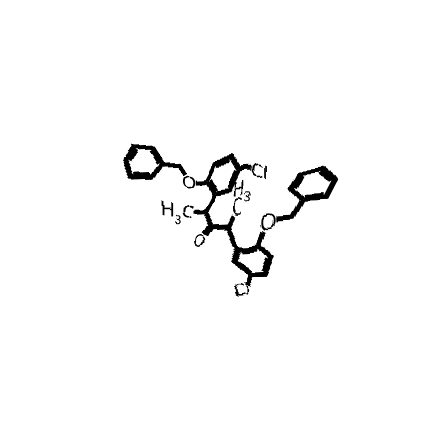 CC(C(=O)C(C)c1cc(Cl)ccc1OCc1ccccc1)c1cc(Cl)ccc1OCc1ccccc1